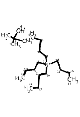 CC(C)(C)O.CCCC[N+](CCCC)(CCCC)CCCC